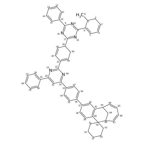 CC1CC=CC=C1c1nc(-c2ccccc2)nc(C2C=CC(c3nc(-c4ccccc4)cc(-c4ccc(-c5ccc6c(c5)C5C=CC=CC(C5)C65CCCCC5)cc4)n3)=CC2)n1